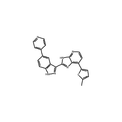 Cc1ccc(-c2ccnc3[nH]c(-c4n[nH]c5ccc(-c6ccncc6)cc45)nc23)s1